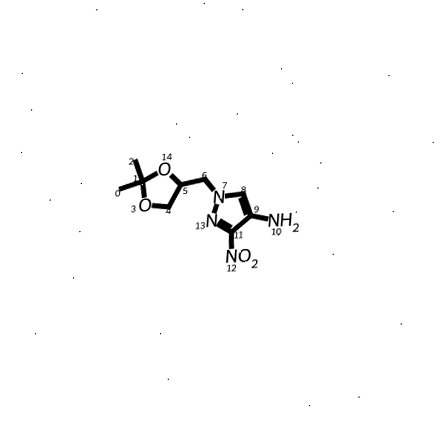 CC1(C)OCC(Cn2cc(N)c([N+](=O)[O-])n2)O1